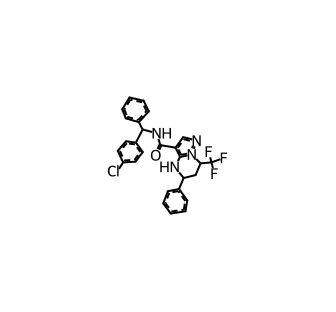 O=C(NC(c1ccccc1)c1ccc(Cl)cc1)c1cnn2c1NC(c1ccccc1)CC2C(F)(F)F